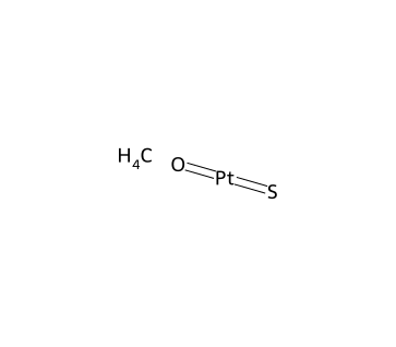 C.[O]=[Pt]=[S]